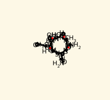 Cc1sc2nc1C(=O)N[C@@H]([C@H](O)c1ccccc1)c1nc(cs1)C(=O)NC(Cc1ccc(O)cc1)C(=O)N1C[C@H](OC(=O)NCCCN3CCOCC3)[C@H](C)[C@H]1c1nc(cs1)-c1nc(cs1)-c1nc(-c3nc(C(N)=O)cs3)ccc1-c1nc(cs1)C(=O)N[C@H]2CC(N)=O